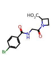 O=C(NCC(=O)N1CCC1C(=O)O)c1ccc(Br)cc1